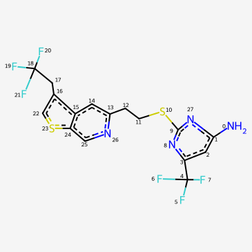 Nc1cc(C(F)(F)F)nc(SCCc2cc3c(CC(F)(F)F)csc3cn2)n1